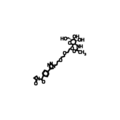 CC(=O)N[C@H]1C(OCCOCCOCCn2cc(-c3ccc(C(=O)N4CCC4=O)cc3)nn2)O[C@H](CO)[C@@H](O)[C@@H]1O